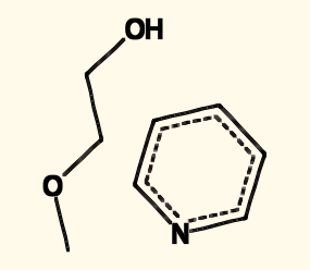 COCCO.c1ccncc1